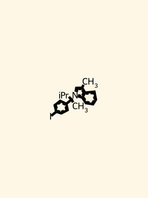 Cc1cn(C(C)(c2ccc(I)cc2)C(C)C)c2ccccc12